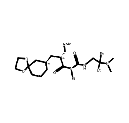 CCN(C(=O)NCC(CC)(CC)N(C)C)C(=O)[C@@H](CNC)C[C@H]1CCCC2(C1)OCCO2